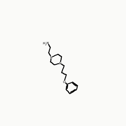 NCCN1CCN(CCCOc2ccccc2)CC1